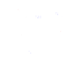 NC(=O)C1NC(=O)CSc2nc3ccccc3cc21